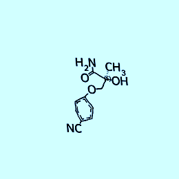 C[C@](O)(COc1ccc(C#N)cc1)C(N)=O